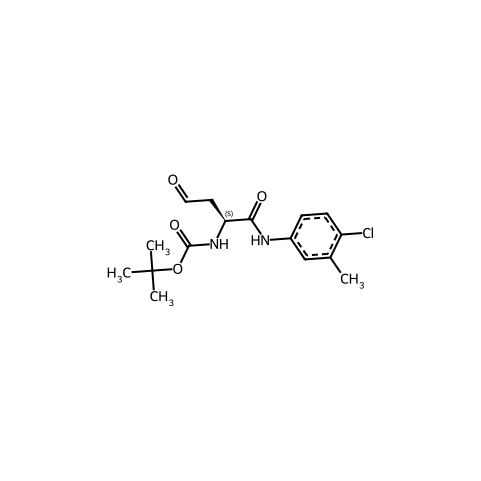 Cc1cc(NC(=O)[C@H](CC=O)NC(=O)OC(C)(C)C)ccc1Cl